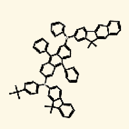 CC(C)(C)c1ccc(N(c2ccc3c(c2)C(C)(C)c2ccccc2-3)c2ccc3c(-c4ccccc4)c4cc(N(c5ccccc5)c5ccc6c(c5)C(C)(C)c5cc7ccccc7cc5-6)ccc4c(-c4ccccc4)c3c2)cc1